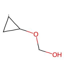 OCOC1[CH]C1